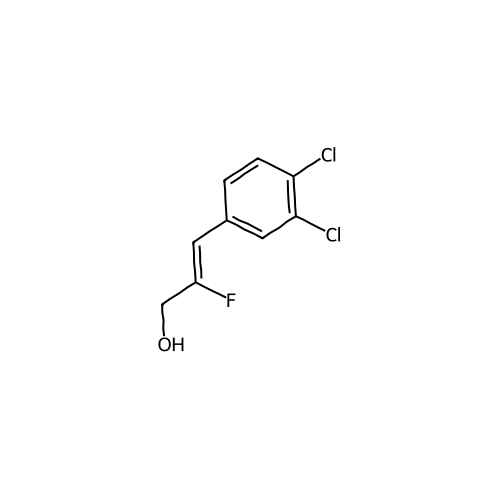 OC/C(F)=C/c1ccc(Cl)c(Cl)c1